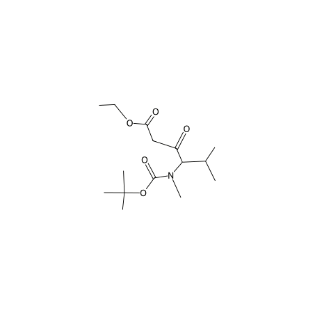 CCOC(=O)CC(=O)C(C(C)C)N(C)C(=O)OC(C)(C)C